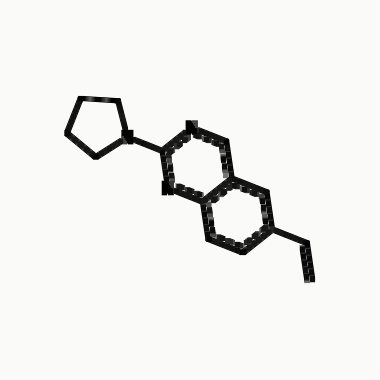 C=Cc1ccc2nc(N3CCCC3)ncc2c1